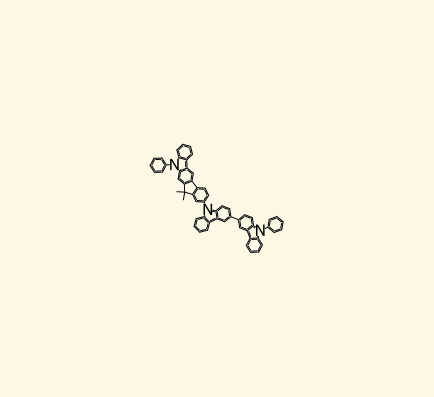 CC1(C)c2cc(-n3c4ccccc4c4cc(-c5ccc6c(c5)c5ccccc5n6-c5ccccc5)ccc43)ccc2-c2cc3c4ccccc4n(-c4ccccc4)c3cc21